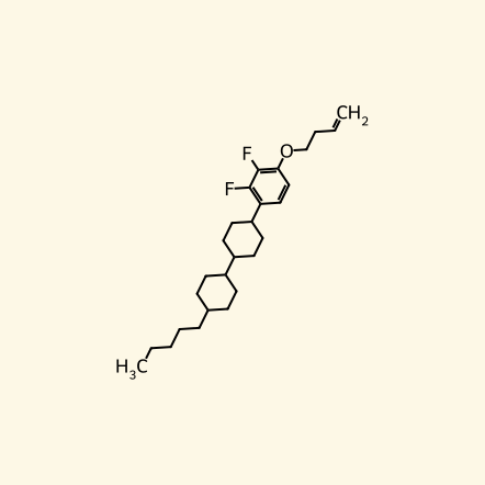 C=CCCOc1ccc(C2CCC(C3CCC(CCCCC)CC3)CC2)c(F)c1F